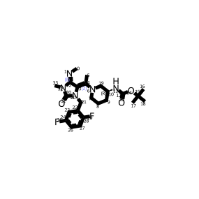 C/N=C1\C(=C(/C)N2CCC[C@@H](NC(=O)OC(C)(C)C)C2)N(Cc2cc(F)ccc2F)C(=O)N1C